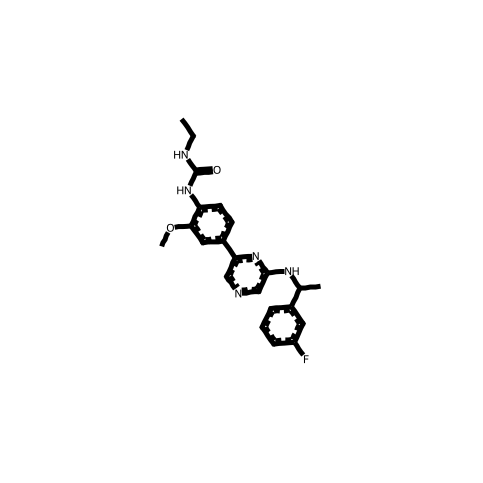 CCNC(=O)Nc1ccc(-c2cncc(NC(C)c3cccc(F)c3)n2)cc1OC